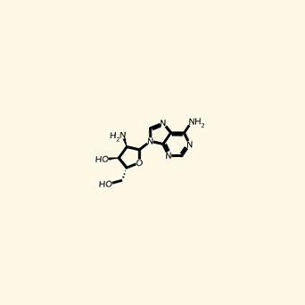 Nc1ncnc2c1ncn2C1O[C@H](CO)[C@@H](O)[C@H]1N